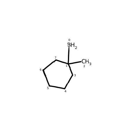 BC1(C)CCCCC1